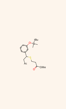 COC(=O)CCSC(CC(C)=O)c1cccc(O[Si](C)(C)C(C)(C)C)c1